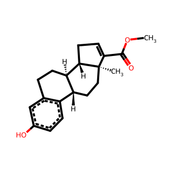 COC(=O)C1=CC[C@H]2[C@@H]3CCc4cc(O)ccc4[C@H]3CC[C@]12C